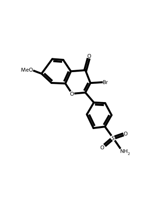 COc1ccc2c(=O)c(Br)c(-c3ccc(S(N)(=O)=O)cc3)oc2c1